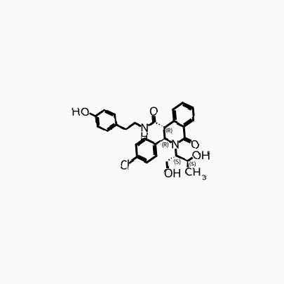 C[C@H](O)[C@H](CO)N1C(=O)c2ccccc2[C@@H](C(=O)NCCc2ccc(O)cc2)[C@@H]1c1ccc(Cl)cc1